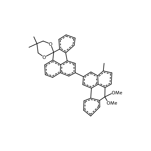 COC1(OC)c2ccccc2-c2cc(-c3cc4c5c(cccc5c3)C3(OCC(C)(C)CO3)c3ccccc3-4)cc3c(C)ccc1c23